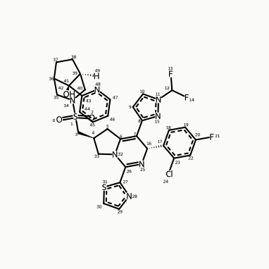 O=S(=O)(C[C@H]1CC2=C(c3ccn(C(F)F)n3)[C@H](c3ccc(F)cc3Cl)N=C(c3nccs3)N2C1)N1CC2CC[C@@H](C1)[C@]2(O)c1ccccn1